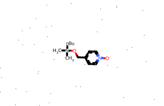 CCCC[Si](C)(C)OCc1cc[n+]([O-])cc1